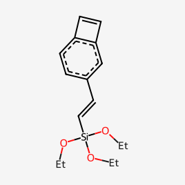 CCO[Si](C=Cc1ccc2c(c1)C=C2)(OCC)OCC